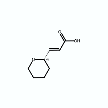 O=C(O)C=C[C@@H]1CCCCO1